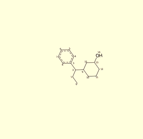 CCC(c1ccccc1)C1CCCC(O)C1